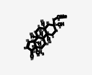 COC[C@@]1(O)CC[C@H]2[C@@H](CC[C@@H]3[C@@H]2CC[C@]2(C)C(=O)C=C[C@@H]32)C1